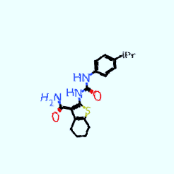 CC(C)c1ccc(NC(=O)Nc2sc3c(c2C(N)=O)CCCC3)cc1